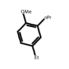 CCCc1cc(CC)ccc1OC